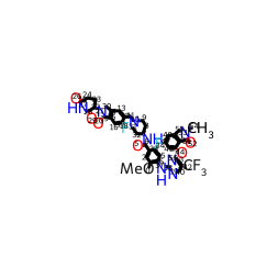 COc1cc(C(=O)NC2CCN(Cc3cc4c(cc3F)C(=O)N(C3CCC(=O)NC3=O)C4)CC2)c(F)cc1Nc1ncc(C(F)(F)F)c(Oc2cccc3c2C(=O)N(C)C3)n1